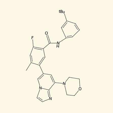 Cc1cc(F)c(C(=O)Nc2cccc(C(C)(C)C)c2)cc1-c1cc(N2CCOCC2)c2nccn2c1